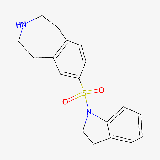 O=S(=O)(c1ccc2c(c1)CCNCC2)N1CCc2ccccc21